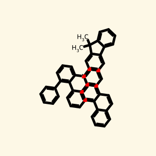 CC1(C)c2ccccc2-c2ccc(N(c3ccc4c(ccc5ccccc54)c3)c3cccc(-c4ccccc4)c3-c3ccccc3-c3ccccc3)cc21